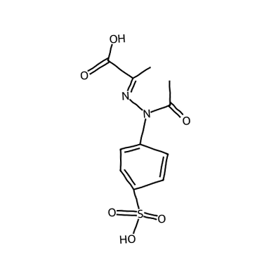 CC(=O)N(/N=C(\C)C(=O)O)c1ccc(S(=O)(=O)O)cc1